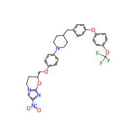 O=[N+]([O-])c1cn2c(n1)O[C@H](COc1ccc(N3CCC(Cc4ccc(Oc5ccc(OC(F)(F)F)cc5)cc4)CC3)cc1)CC2